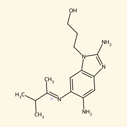 C/C(=N\c1cc2c(cc1N)nc(N)n2CCCO)C(C)C